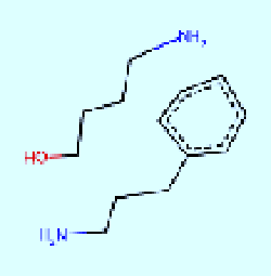 NCCCCO.NCCCc1ccccc1